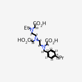 CCN(CCN(CCN(CC(=O)O)Cc1ccc(C(C)C)cc1)CC(=O)O)CC(=O)O